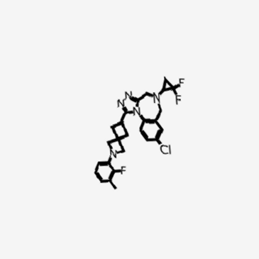 Cc1cccc(N2CC3(CC(c4nnc5n4-c4ccc(Cl)cc4CN(C4CC4(F)F)C5)C3)C2)c1F